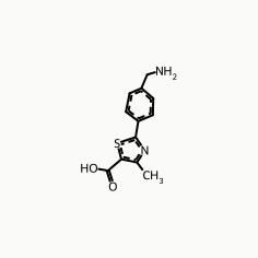 Cc1nc(-c2ccc(CN)cc2)sc1C(=O)O